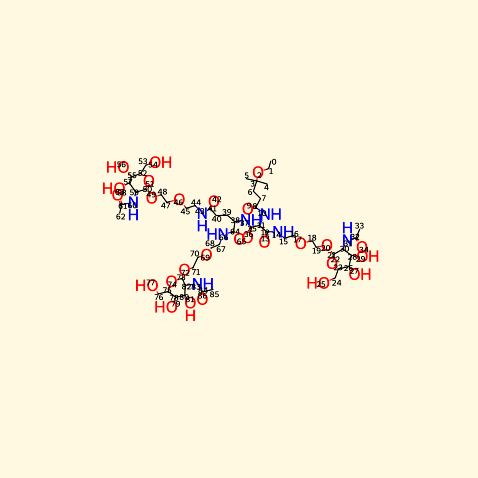 CCOC(C)(C)CCC(=O)NC(C(=O)NCCOCCOC1OC(CO)C(O)C(O)C1NC(C)=O)C(=O)NC(CCC(=O)NCCOCCOC1OC(CO)C(O)C(O)C1NC(C)=O)C(=O)NCCOCCOC1OC(CO)C(O)C(O)C1NC(C)=O